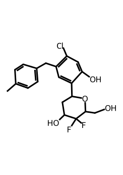 Cc1ccc(Cc2cc(C3CC(O)C(F)(F)C(CO)O3)c(O)cc2Cl)cc1